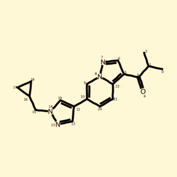 CC(C)C(=O)c1cnn2cc(-c3cnn(CC4CC4)c3)ccc12